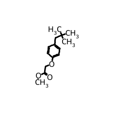 COC(=O)COc1ccc(CC(C)(C)C)cc1